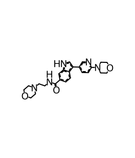 O=C(NCCN1CCOCC1)c1ccc2c(-c3ccc(N4CCOCC4)nc3)c[nH]c2c1